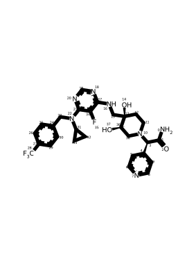 NC(=O)[C@@H](c1ccncc1)N1CC[C@@](O)(CNc2ncnc(N(Cc3ccc(C(F)(F)F)cc3)C3CC3)c2F)[C@H](O)C1